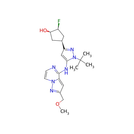 COCc1cc2c(Nc3cc([C@H]4C[C@@H](O)[C@@H](F)C4)nn3C(C)(C)C)nccn2n1